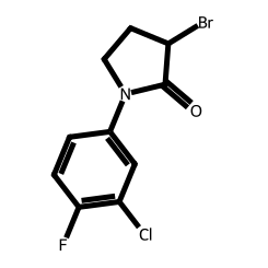 O=C1C(Br)CCN1c1ccc(F)c(Cl)c1